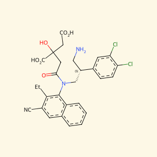 CCc1c(C#N)cc2ccccc2c1N(C[C@H](CN)c1ccc(Cl)c(Cl)c1)C(=O)CC(O)(CC(=O)O)C(=O)O